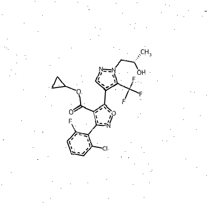 C[C@H](O)Cn1ncc(-c2onc(-c3c(F)cccc3Cl)c2C(=O)OC2CC2)c1C(F)(F)F